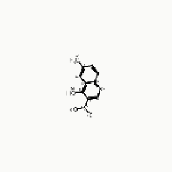 [O-][S+](Cl)c1cnc2ccc(C(F)(F)F)cc2c1O